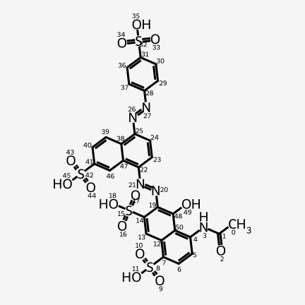 CC(=O)Nc1ccc(S(=O)(=O)O)c2cc(S(=O)(=O)O)c(/N=N/c3ccc(/N=N/c4ccc(S(=O)(=O)O)cc4)c4ccc(S(=O)(=O)O)cc34)c(O)c12